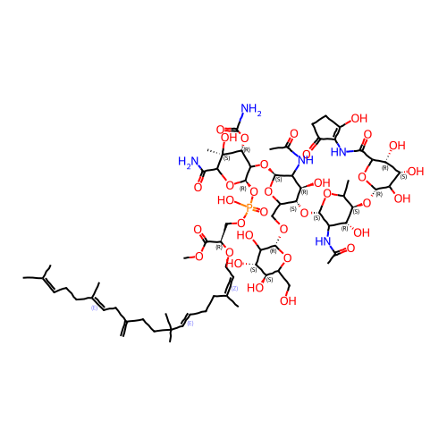 C=C(C/C=C(\C)CCC=C(C)C)CCC(C)(C)/C=C/CC/C(C)=C\CO[C@H](COP(=O)(O)O[C@H]1OC(C(N)=O)[C@@](C)(O)[C@H](OC(N)=O)C1O[C@@H]1OC(CO[C@@H]2OC(CO)[C@@H](O)[C@H](O)C2O)[C@@H](O[C@@H]2OC(C)[C@@H](O[C@@H]3OC(C(=O)NC4=C(O)CCC4=O)[C@H](O)[C@H](O)C3O)[C@H](O)C2NC(C)=O)[C@H](O)C1NC(C)=O)C(=O)OC